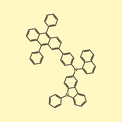 c1ccc(-c2c3ccccc3c(-c3ccccc3)c3cc(-c4ccc(N(c5ccc6c(c5)c5ccccc5n6-c5ccccc5)c5cccc6ccccc56)cc4)ccc23)cc1